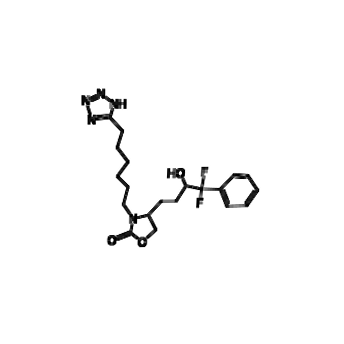 O=C1OCC(CCC(O)C(F)(F)c2ccccc2)N1CCCCCCc1nnn[nH]1